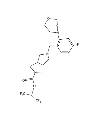 O=C(OC(C(F)(F)F)C(F)(F)F)N1CC2CN(Cc3ccc(F)cc3N3CCOCC3)CC2C1